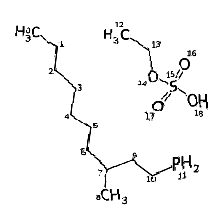 CCCCCCCC(C)CCP.CCOS(=O)(=O)O